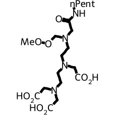 CCCCCNC(=O)CN(CCN(CCN(CC(=O)O)CC(=O)O)CC(=O)O)COOC